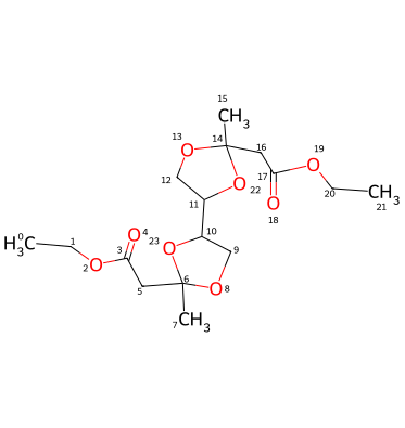 CCOC(=O)CC1(C)OCC(C2COC(C)(CC(=O)OCC)O2)O1